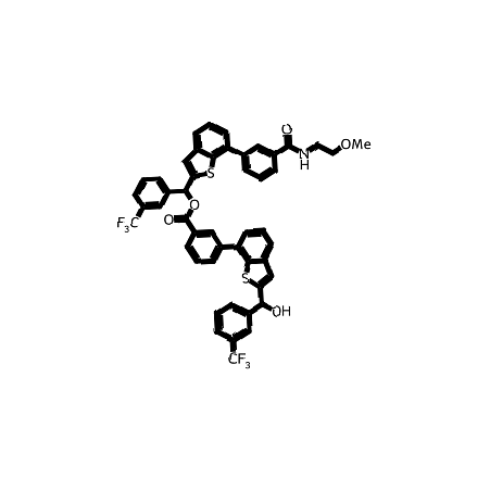 COCCNC(=O)c1cccc(-c2cccc3cc(C(OC(=O)c4cccc(-c5cccc6cc(C(O)c7cccc(C(F)(F)F)c7)sc56)c4)c4cccc(C(F)(F)F)c4)sc23)c1